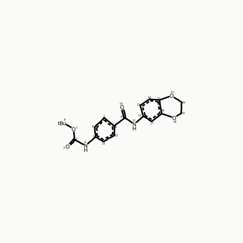 CC(C)(C)OC(=O)Nc1ccc(C(=O)Nc2ccc3c(c2)OCCO3)cc1